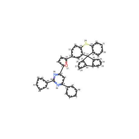 c1ccc(-c2cc(-c3ccc(-c4ccc5c(c4)C4(c6ccccc6S5)c5ccccc5-c5ccccc54)o3)nc(-c3ccccc3)n2)cc1